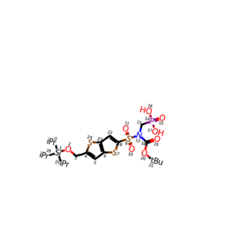 CC(C)[Si](OCc1cc2sc(S(=O)(=O)N(CP(=O)(O)O)C(=O)OC(C)(C)C)cc2s1)(C(C)C)C(C)C